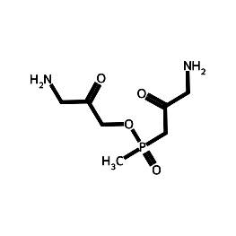 CP(=O)(CC(=O)CN)OCC(=O)CN